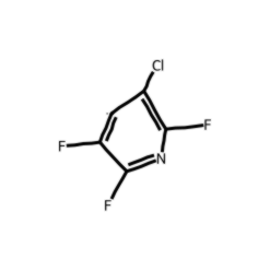 Fc1[c]c(Cl)c(F)nc1F